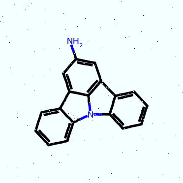 Nc1cc2c3ccccc3n3c4ccccc4c(c1)c23